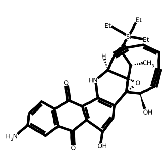 CC[Si](CC)(CC)O[C@H](C)[C@@]12O[C@]13c1cc(O)c4c(c1N[C@H]2C#C/C=C\C#C[C@H]3O)C(=O)c1ccc(N)cc1C4=O